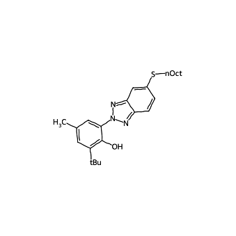 CCCCCCCCSc1ccc2nn(-c3cc(C)cc(C(C)(C)C)c3O)nc2c1